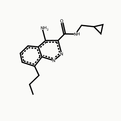 CCCc1cccc2c(N)c(C(=O)NCC3CC3)nnc12